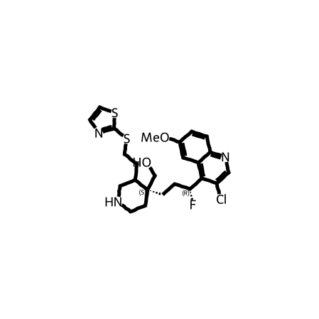 COc1ccc2ncc(Cl)c([C@H](F)CC[C@]3(CO)CCNCC3CCSc3nccs3)c2c1